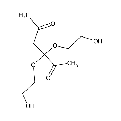 CC(=O)CC(OCCO)(OCCO)C(C)=O